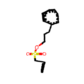 C=CCS(=O)(=O)OCCCc1ccccc1